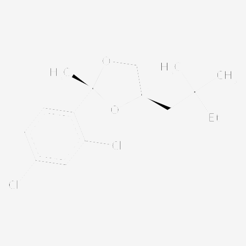 CCC(C)(C)C[C@@H]1CO[C@@](C)(c2ccc(Cl)cc2Cl)O1